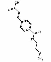 COCCNC(=O)c1ccc(C=CC(=O)O)cc1